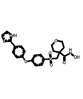 O=C(NO)C1(CS(=O)(=O)c2ccc(Oc3ccc(-c4ncc[nH]4)cc3)cc2)CCOCC1